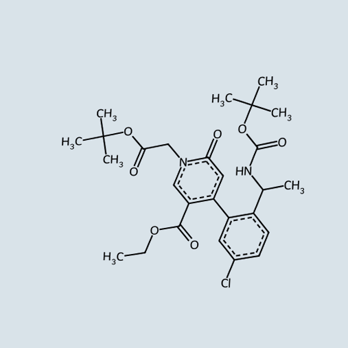 CCOC(=O)c1cn(CC(=O)OC(C)(C)C)c(=O)cc1-c1cc(Cl)ccc1C(C)NC(=O)OC(C)(C)C